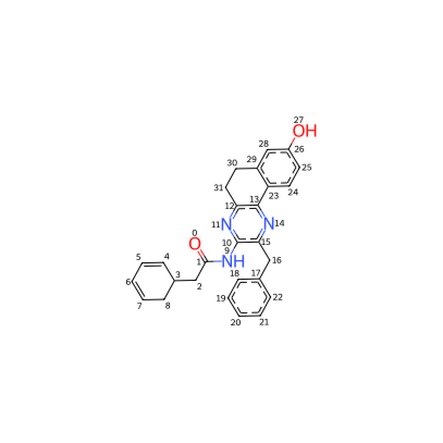 O=C(CC1C=CC=CC1)Nc1nc2c(nc1Cc1ccccc1)-c1ccc(O)cc1CC2